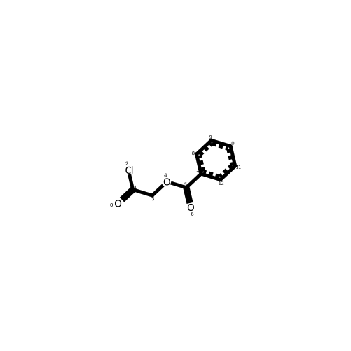 O=C(Cl)COC(=O)c1ccccc1